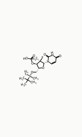 CC(C)(C)[Si](C)(C)OC[C@H]1O[C@@H](n2ccc(=O)[nH]c2=O)[C@](C)(F)[C@@H]1OC(=O)O